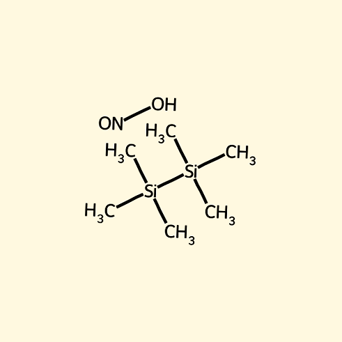 C[Si](C)(C)[Si](C)(C)C.O=NO